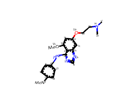 CNc1ccc(Nc2ncnc3cc(OCCN(C)C)cc(OC)c23)cc1